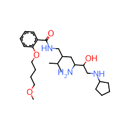 COCCCCOc1ccccc1C(=O)NCC(CC(N)C(O)CNC1CCCC1)C(C)C